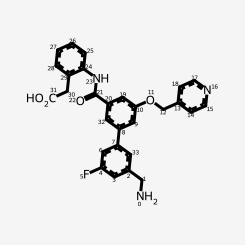 NCc1cc(F)cc(-c2cc(OCc3ccncc3)cc(C(=O)Nc3ccccc3CC(=O)O)c2)c1